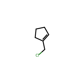 ClCC1=CCCC1